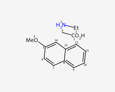 CC(=O)O.CCN.COc1ccc2ccccc2c1